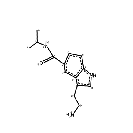 CC(C)NC(=O)c1ccc2[nH]cc(CCN)c2c1